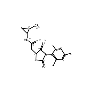 Cc1cc(C)c(C2C(=O)CC(CC(=O)NC3CC3C(F)(F)F)C2=O)c(C)c1